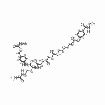 CCCNC(=O)c1ccc(OC(=O)OCCOCCNC(=O)CCC(=O)NCC(=O)N[C@@H](CCCNC(N)=O)C(=O)Nc2ccc(COC(=O)NC)cc2)cc1